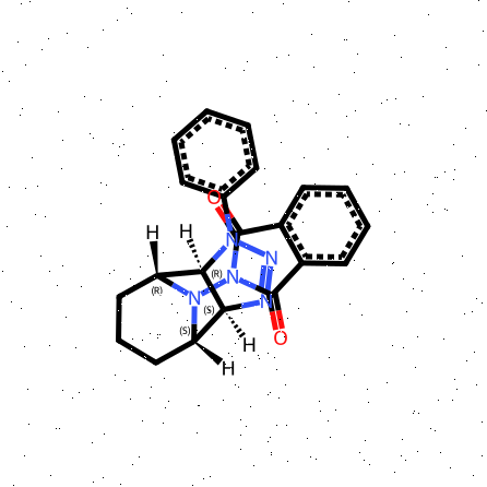 O=C1c2ccccc2C(=O)N1N1[C@@H]2CCC[C@H]1[C@@H]1N=NN(c3ccccc3)[C@@H]12